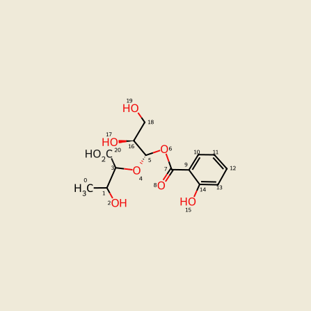 CC(O)C(O[C@@H](OC(=O)c1ccccc1O)[C@@H](O)CO)C(=O)O